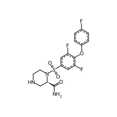 NC(=O)[C@H]1CNCCN1S(=O)(=O)c1cc(F)c(Oc2ccc(F)cc2)c(F)c1